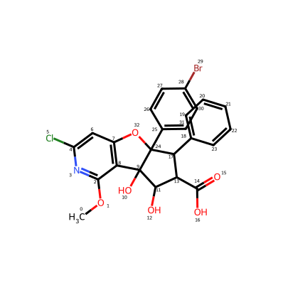 COc1nc(Cl)cc2c1C1(O)C(O)C(C(=O)O)C(c3ccccc3)C1(c1ccc(Br)cc1)O2